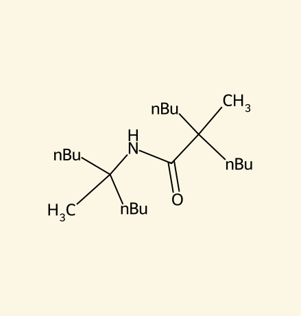 CCCCC(C)(CCCC)NC(=O)C(C)(CCCC)CCCC